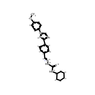 FC(F)(F)Oc1ccc(-n2cnc(-c3ccc(/C=N/NC(=S)NC4CCCCC4)cc3)n2)cc1